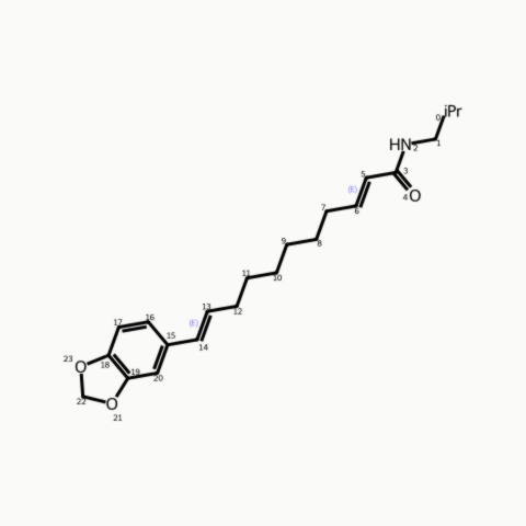 CC(C)CNC(=O)/C=C/CCCCCC/C=C/c1ccc2c(c1)OCO2